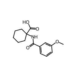 COc1cccc(C(=O)NC2(C(=O)O)CCCCC2)c1